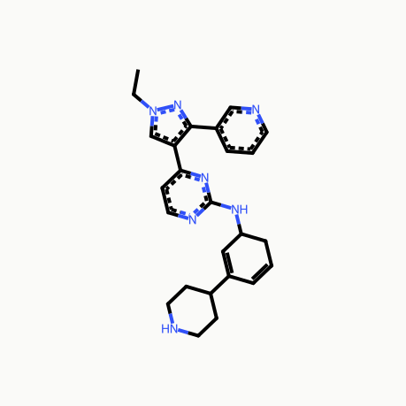 CCn1cc(-c2ccnc(NC3C=C(C4CCNCC4)C=CC3)n2)c(-c2cccnc2)n1